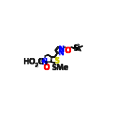 CSC1SC(c2ccn(COCC[Si](C)(C)C)n2)=C2CCN(C(=O)O)C(=O)C21